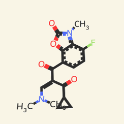 CN(C)/C=C(/C(=O)c1ccc(F)c2c1oc(=O)n2C)C(=O)C1CC1